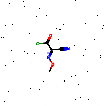 CO/N=C(\C#N)C(=O)Cl